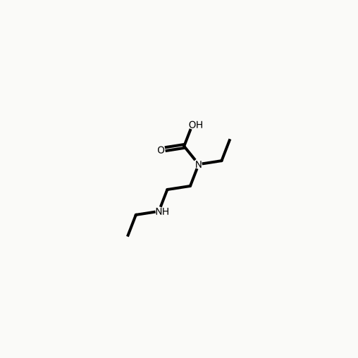 CCNCCN(CC)C(=O)O